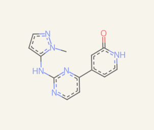 Cn1nccc1Nc1nccc(-c2cc[nH]c(=O)c2)n1